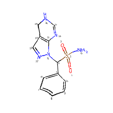 NS(=O)(=O)C(c1ccccc1)n1ncc2c1N=CNC2